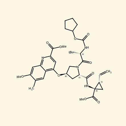 C=C[C@@H]1C[C@]1(NC(=O)[C@@H]1C[C@@H](Oc2cc(C(=O)OC)nc3cc(OC)c(C)cc23)CN1C(=O)[C@@H](NC(=O)OC1CCCC1)C(C)(C)C)C(=O)OC